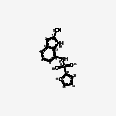 N#Cc1cc2cccc(NS(=O)(=O)c3ccco3)c2[nH]1